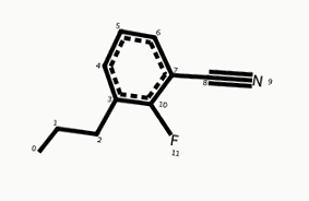 CCCc1cccc(C#N)c1F